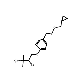 CC(C)(N)C(O)COc1ccc(CCOCC2CC2)cc1